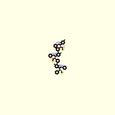 Cc1ccc2c([C@@H](C(=O)C(F)(F)F)c3cccc(-c4c(C)ccc5c([C@H](C(=O)C(F)(F)F)c6cccc(-c7c(C)ccc8c([C@@H](CC(F)(F)F)c9ccccc9)c(-c9ccccc9)[nH]c78)c6)c(-c6ccccc6)[nH]c45)c3)c(-c3ccccc3)[nH]c2c1